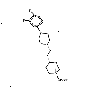 CCCCC[Si@H]1CC[C@H](CC[C@H]2CC[C@H](c3ccc(F)c(F)c3)CC2)CC1